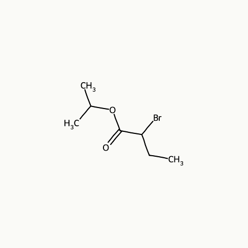 CCC(Br)C(=O)OC(C)C